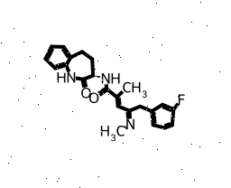 C/N=C(\C=C(/C)C(=O)N[C@H]1CCc2ccccc2NC1=O)Cc1cccc(F)c1